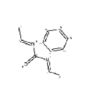 CC=NC(=O)N=CC.c1ccccc1